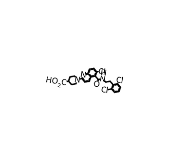 O=C(NCCc1c(Cl)cccc1Cl)c1c(Cl)ccc2nc(N3CCC(C(=O)O)CC3)ccc12